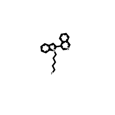 FCCCCCn1c(-c2cncc3ccccc23)cc2ccccc21